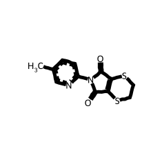 Cc1ccc(N2C(=O)C3=C(SCCS3)C2=O)nc1